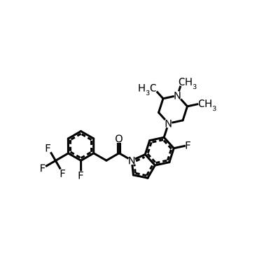 CC1CN(c2cc3c(ccn3C(=O)Cc3cccc(C(F)(F)F)c3F)cc2F)CC(C)N1C